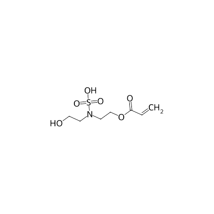 C=CC(=O)OCCN(CCO)S(=O)(=O)O